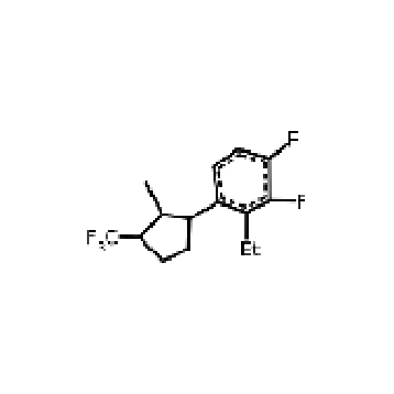 CCc1c(C2CCC(C(F)(F)F)C2C)ccc(F)c1F